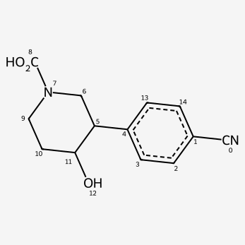 N#Cc1ccc(C2CN(C(=O)O)CCC2O)cc1